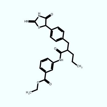 CCCC(Cc1ccc(C2SC(=N)NC2=O)cc1)C(=O)Nc1cccc(C(=O)OCC)c1